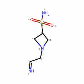 N=CCN1CC(S(N)(=O)=O)C1